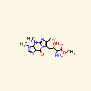 COC(=O)C(N)C(O)Cc1c(C)nc2n1C(=O)C1N=CN(C)C1N2C